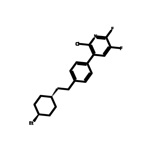 CC[C@H]1CC[C@H](CCc2ccc(-c3cc(F)c(F)nc3Cl)cc2)CC1